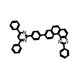 c1ccc(-c2cc(-c3ccccc3)nc(-c3ccc(-c4ccc5c(ccc6ccc7sc(-c8ccccc8)nc7c65)c4)cc3)n2)cc1